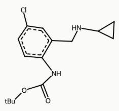 CC(C)(C)OC(=O)Nc1ccc(Cl)cc1CNC1CC1